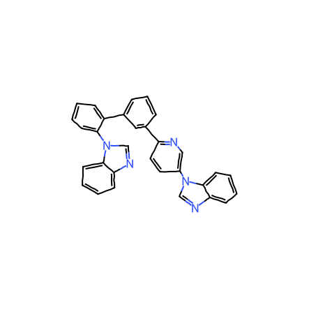 c1cc(-c2ccc(-n3cnc4ccccc43)cn2)cc(-c2ccccc2-n2cnc3ccccc32)c1